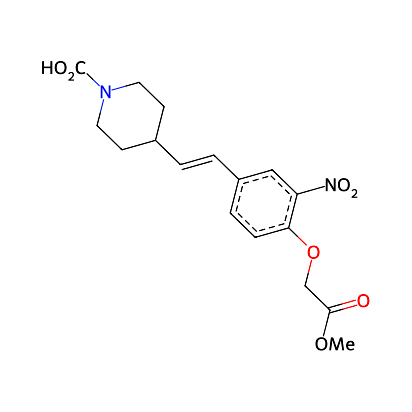 COC(=O)COc1ccc(/C=C/C2CCN(C(=O)O)CC2)cc1[N+](=O)[O-]